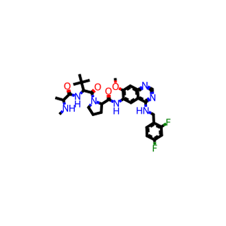 CNC(C)C(=O)NC(C(=O)N1CCCC1C(=O)Nc1cc2c(NCc3ccc(F)cc3F)ncnc2cc1OC)C(C)(C)C